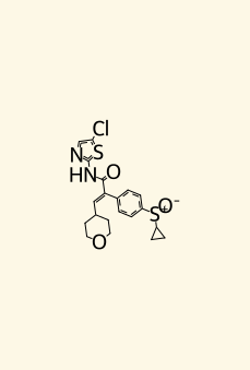 O=C(Nc1ncc(Cl)s1)/C(=C/C1CCOCC1)c1ccc([S+]([O-])C2CC2)cc1